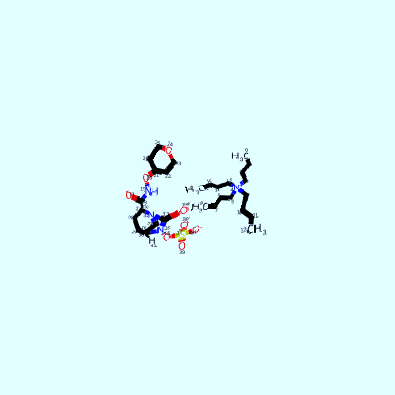 CCCC[N+](CCCC)(CCCC)CCCC.O=C(NOC1CCOCC1)[C@@H]1CC[C@@H]2CN1C(=O)N2OS(=O)(=O)[O-]